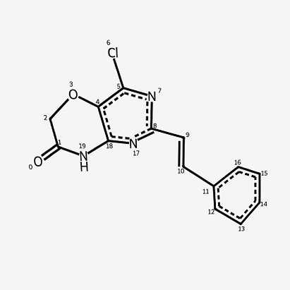 O=C1COc2c(Cl)nc(C=Cc3ccccc3)nc2N1